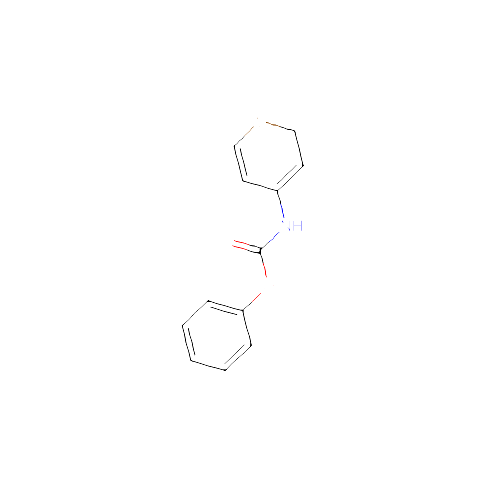 O=C(NC1=CCSC=C1)Oc1ccccc1